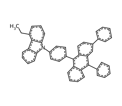 CCc1cccc2c1c1ccccc1n2-c1ccc(-c2c3ccccc3c(-c3ccccc3)c3cc(-c4ccccc4)ccc23)cc1